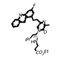 CCOC(=O)CCNC[C@H](CC(C)C)n1cc(CCc2cc(F)cc3nc4ccccc4cc23)nc(C)c1=O